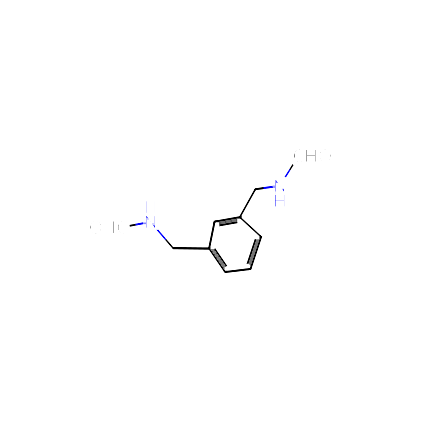 O=CNCc1cccc(CNC=O)c1